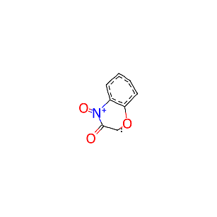 O=C1[C]Oc2ccccc2[N+]1=O